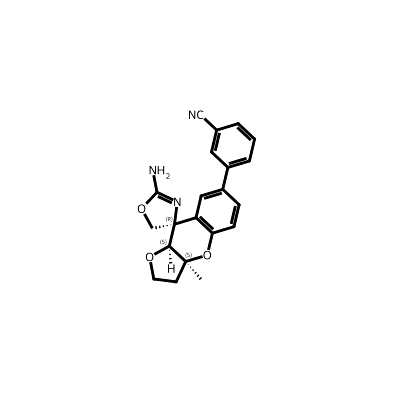 C[C@]12CCO[C@H]1[C@]1(COC(N)=N1)c1cc(-c3cccc(C#N)c3)ccc1O2